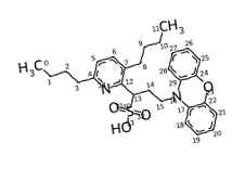 CCCCc1ccc(CCCC)c(C(CCN2c3ccccc3Oc3ccccc32)S(=O)(=O)O)n1